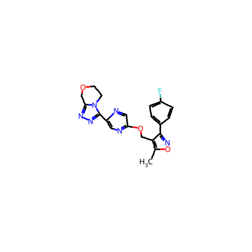 Cc1onc(-c2ccc(F)cc2)c1COc1cnc(-c2nnc3n2CCOC3)cn1